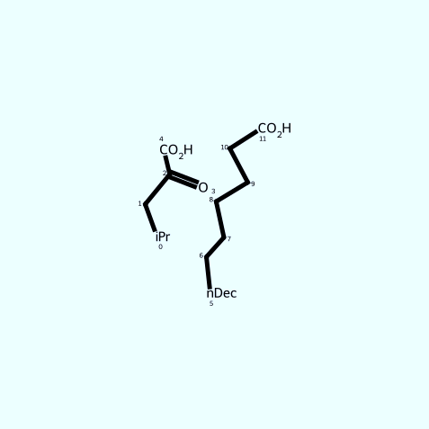 CC(C)CC(=O)C(=O)O.CCCCCCCCCCCCCCCC(=O)O